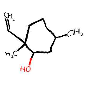 C=CC1(C)CCC(C)CC1O